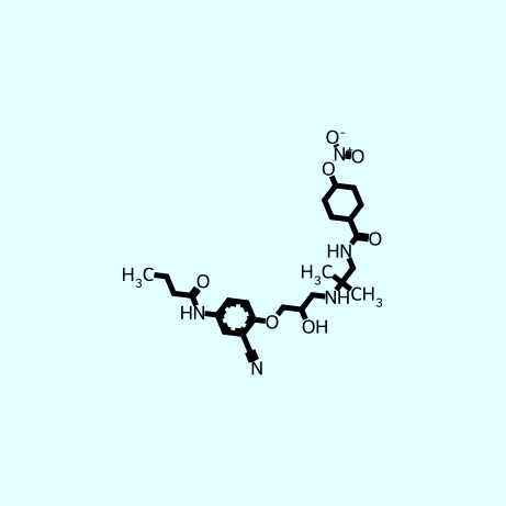 CCCC(=O)Nc1ccc(OCC(O)CNC(C)(C)CNC(=O)C2CCC(O[N+](=O)[O-])CC2)c(C#N)c1